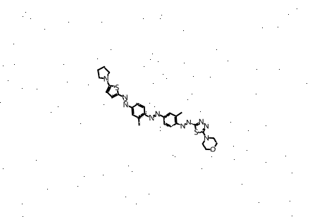 Cc1cc(/N=N/c2ccc(N3CCCC3)s2)ccc1/N=N/c1ccc(/N=N/c2nnc(N3CCOCC3)s2)c(C)c1